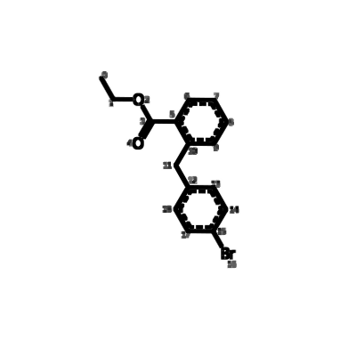 CCOC(=O)c1ccccc1Cc1ccc(Br)cc1